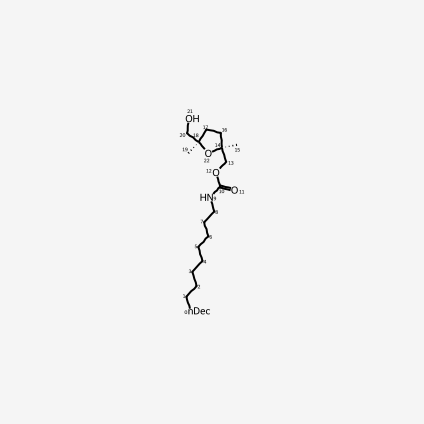 CCCCCCCCCCCCCCCCCCNC(=O)OC[C@]1(C)CC[C@](C)(CO)O1